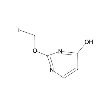 Oc1ccnc(OCI)n1